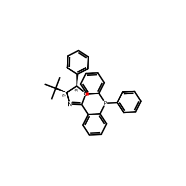 CC(C)(C)[C@@H]1N=C(c2ccccc2P(c2ccccc2)c2ccccc2)O[C@@H]1c1ccccc1